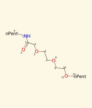 CCCCCNC(=O)COCCOCCOCCCCC